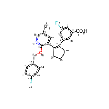 O=C(O)c1cc(F)cc(C2=C(c3cc(C(F)(F)F)cnc3OCc3ccc(F)cc3)CCC2)c1